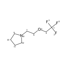 FC(F)(F)COCCN1CCCC1